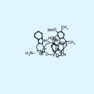 COc1c(C)cc2c(c1O)[C@@H]1C3[C@@H]4SC[C@]5(N[C@H](CN)Cc6c5[nH]c5ccccc65)C(=O)OC[C@@H](c5c6c(c(C)c(OC(C)=O)c54)OCO6)N3[C@]3(C#N)CN1C2(C)C3